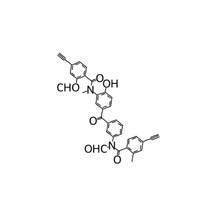 C#Cc1ccc(C(=O)N(C=O)c2cccc(C(=O)c3ccc(O)c(N(C)C(=O)c4ccc(C#C)cc4C=O)c3)c2)c(C)c1